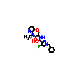 CN1C(=O)[C@@H](NC(O)c2nn(Cc3ccccc3)cc2F)COc2cccnc21